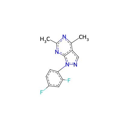 Cc1nc(C)c2cnn(-c3ccc(F)cc3F)c2n1